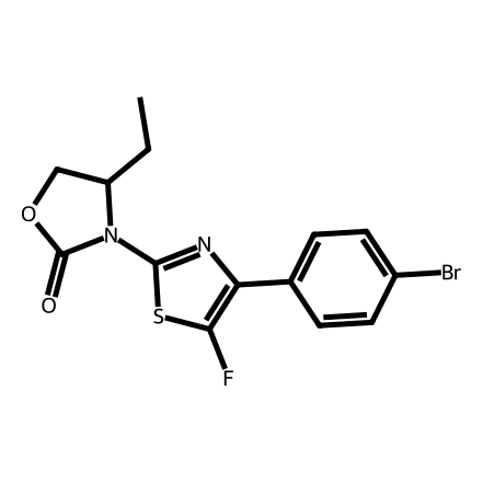 CCC1COC(=O)N1c1nc(-c2ccc(Br)cc2)c(F)s1